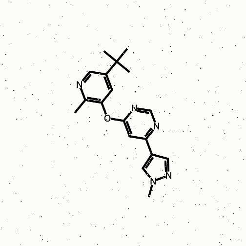 Cc1n[c]c(C(C)(C)C)cc1Oc1cc(-c2cnn(C)c2)ncn1